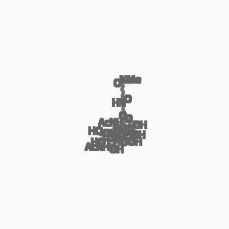 CNC(=O)CCCCC(=O)NCCCO[C@@H]1OC(CO)[C@@H](O[C@@H]2OC(CO[C@]3(C(=O)O)C[C@@H](O)[C@@H](NC(C)=O)C(C(O)C(O)CO)O3)[C@H](O)C(O)[C@@H]2O)C(O)[C@@H]1NC(C)=O